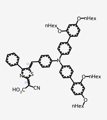 CCCCCCOc1ccc(-c2ccc(N(c3ccc(/C=c4\s/c(=C(\C#N)C(=O)O)nc4-c4ccccc4)cc3)c3ccc(-c4ccc(OCCCCCC)cc4OCCCCCC)cc3)cc2)c(OCCCCCC)c1